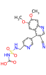 COc1cc2ncc(C#N)c(-c3ccc(CNS(=O)(=O)NC(=O)O)nc3)c2cc1OC